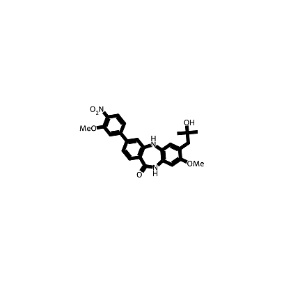 COc1cc2c(cc1CC(C)(C)O)Nc1cc(-c3ccc([N+](=O)[O-])c(OC)c3)ccc1C(=O)N2